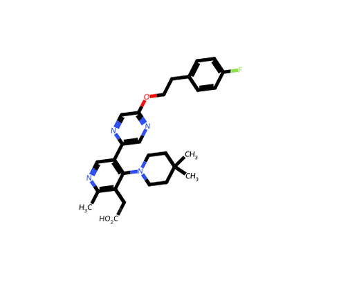 Cc1ncc(-c2cnc(OCCc3ccc(F)cc3)cn2)c(N2CCC(C)(C)CC2)c1CC(=O)O